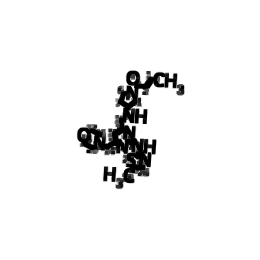 C/C=C/C(=O)N1CCC(NCc2cc(CN3CCOCC3)nc(Nc3ncc(C)s3)n2)C1